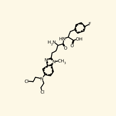 Cn1c(CCC(N)C(=O)NC(Cc2ccc(F)cc2)C(=O)O)nc2cc(N(CCCl)CCCl)ccc21